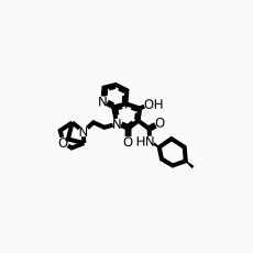 C[C@H]1CC[C@@H](NC(=O)c2c(O)c3cccnc3n(CCN3C4COCC3C4)c2=O)CC1